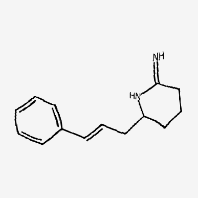 N=C1CCCC(CC=Cc2ccccc2)N1